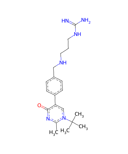 Cc1nc(=O)c(-c2ccc(CNCCCNC(=N)N)cc2)cn1C(C)(C)C